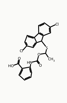 CC(OC(=O)Nc1ccccc1C(=O)O)SC1c2cc(Cl)ccc2-c2ccc(Cl)cc21